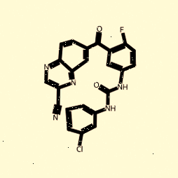 N#Cc1cnc2ccc(C(=O)c3cc(NC(=O)Nc4cccc(Cl)c4)ccc3F)cc2n1